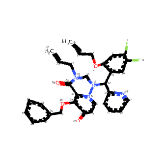 C=CCOc1cc(F)c(F)cc1C(c1ccccn1)N1CN(CC=C)C(=O)c2c(OCc3ccccc3)c(=O)ccn21